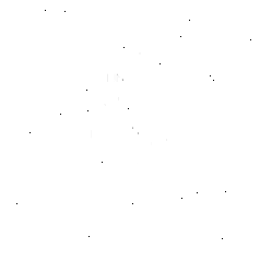 Cc1ccc2c(c1)C(=O)N([C@H]1CCC(=O)NC1=O)C2O